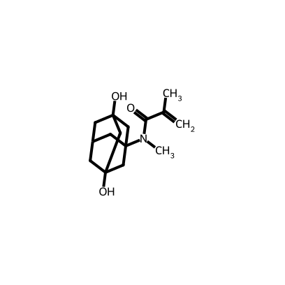 C=C(C)C(=O)N(C)C12CC3CC(O)(CC(O)(C3)C1)C2